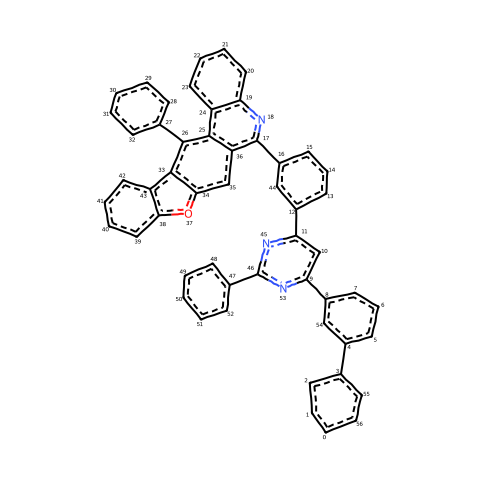 c1ccc(-c2cccc(-c3cc(-c4cccc(-c5nc6ccccc6c6c(-c7ccccc7)c7c(cc56)oc5ccccc57)c4)nc(-c4ccccc4)n3)c2)cc1